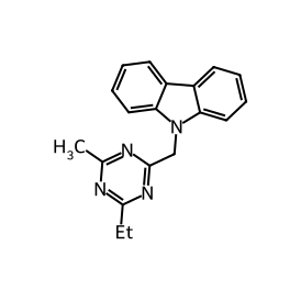 CCc1nc(C)nc(Cn2c3ccccc3c3ccccc32)n1